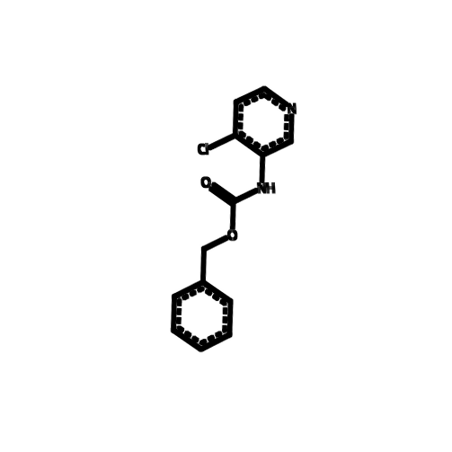 O=C(Nc1cnccc1Cl)OCc1ccccc1